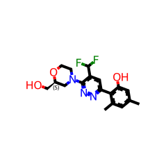 Cc1cc(C)c(-c2cc(C(F)F)c(N3CCO[C@H](CO)C3)nn2)c(O)c1